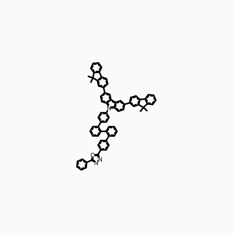 CC1(C)c2ccccc2-c2ccc(-c3ccc4c(c3)c3cc(-c5ccc6c(c5)C(C)(C)c5ccccc5-6)ccc3n4-c3ccc(-c4ccccc4-c4ccccc4-c4ccc(-c5nnc(-c6ccccc6)o5)cc4)cc3)cc21